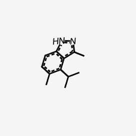 Cc1ccc2[nH]nc(C)c2c1C(C)C